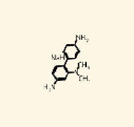 CN(C)c1cc(N)ccc1-c1ccc(N)cc1.[NaH]